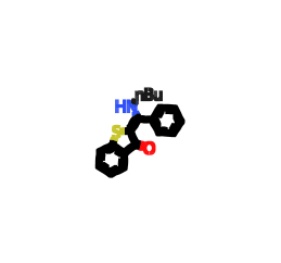 CCCCNC(=C1Sc2ccccc2C1=O)c1ccccc1